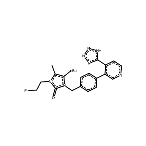 CCCCc1c(C)n(CCC(C)C)c(=O)n1Cc1ccc(-c2cnccc2-c2nnn[nH]2)cc1